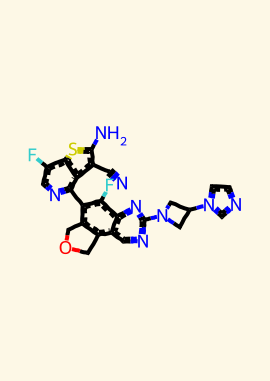 N#Cc1c(N)sc2c(F)cnc(-c3c4c(c5cnc(N6CC(n7ccnc7)C6)nc5c3F)COC4)c12